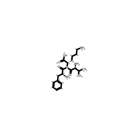 CC(C)[C@H](N)C(=O)N(C(=O)[C@@H](N)Cc1ccccc1)[C@@H](CCCCN)C(=O)O